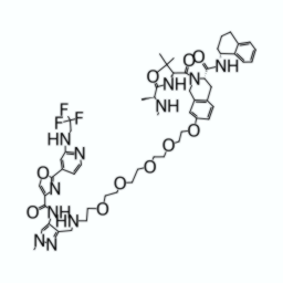 CN[C@@H](C)C(=O)N[C@H](C(=O)N1Cc2cc(OCCOCCOCCOCCOCCNCc3nn(C)cc3NC(=O)c3coc(-c4ccnc(NCC(F)(F)F)c4)n3)ccc2C[C@H]1C(=O)N[C@@H]1CCCc2ccccc21)C(C)(C)C